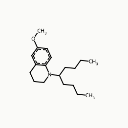 CCCCC(CCCC)N1CCCc2cc(OC)ccc21